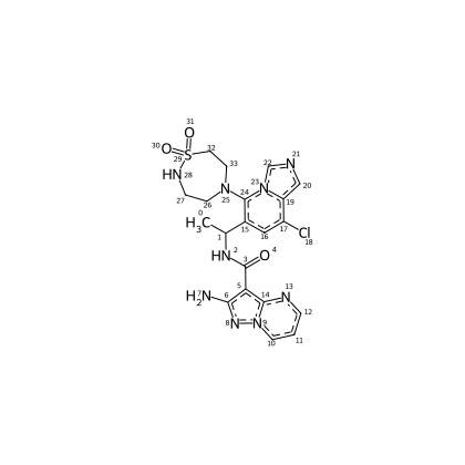 CC(NC(=O)c1c(N)nn2cccnc12)c1cc(Cl)c2cncn2c1N1CCNS(=O)(=O)CC1